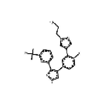 NCCn1cc(-c2cc(-c3c[nH]nc3-c3cccc(C(F)(F)F)n3)ccc2F)cn1